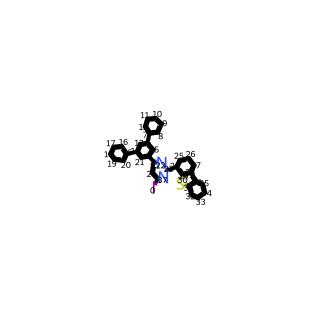 Ic1cc(-c2cc(-c3ccccc3)cc(-c3ccccc3)c2)nc(-c2cccc3c2sc2ccccc23)n1